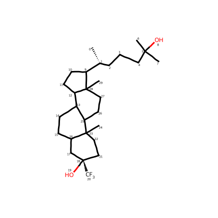 C[C@H](CCCC(C)(C)O)C1CCC2C3CCC4C[C@](O)(C(F)(F)F)CCC4(C)C3CCC21C